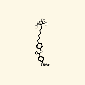 CCC(=O)C(CCCCCCc1ccc(OC(=O)c2ccc(OC)cc2)cc1)C(=O)CC